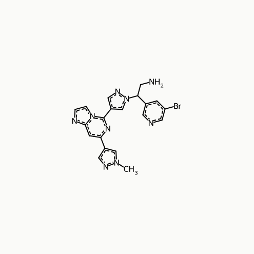 Cn1cc(-c2cc3nccn3c(-c3cnn(C(CN)c4cncc(Br)c4)c3)n2)cn1